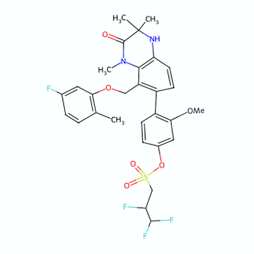 COc1cc(OS(=O)(=O)CC(F)C(F)F)ccc1-c1ccc2c(c1COc1cc(F)ccc1C)N(C)C(=O)C(C)(C)N2